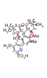 COc1ccc(-c2cc(C)cc(C(=O)O)n2)c(C)c1C1C2=C(CC(C)(C)CC2=O)OC2=C1C(=O)CC(C)(C)C2.[Na]